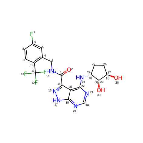 O=C(NCc1cc(F)ccc1C(F)(F)F)c1n[nH]c2ncnc(N[C@@H]3CC[C@@H](O)[C@H]3O)c12